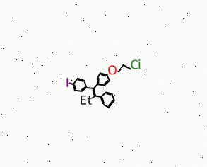 CC/C(=C(\c1ccc(I)cc1)c1ccc(OCCCCl)cc1)c1ccccc1